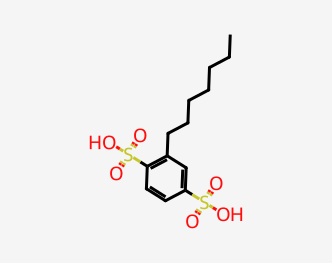 CCCCCCCc1cc(S(=O)(=O)O)ccc1S(=O)(=O)O